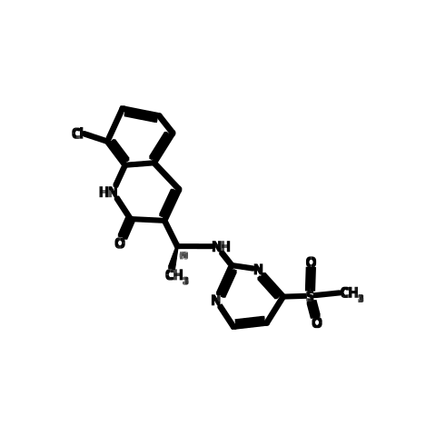 C[C@H](Nc1nccc(S(C)(=O)=O)n1)c1cc2cccc(Cl)c2[nH]c1=O